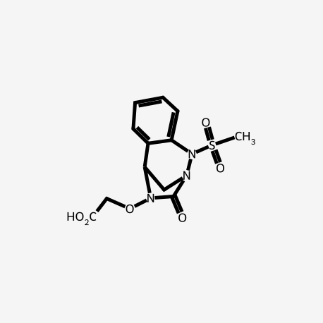 CS(=O)(=O)N1c2ccccc2C2CN1C(=O)N2OCC(=O)O